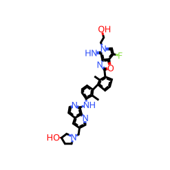 Cc1c(Nc2nccc3cc(CN4CC[C@@H](O)C4)cnc23)cccc1-c1cccc(-c2nc3c(=N)n(CCO)cc(F)c3o2)c1C